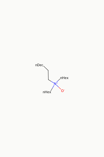 CCCCCCCCCCCC[N+]([O-])(CCCCCC)CCCCCC